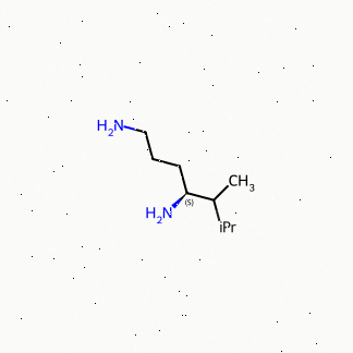 CC(C)C(C)[C@@H](N)CCCN